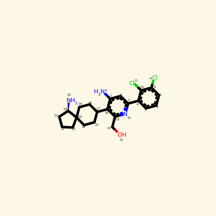 Nc1cc(-c2cccc(Cl)c2Cl)nc(CO)c1C1CCC2(CCC[C@H]2N)CC1